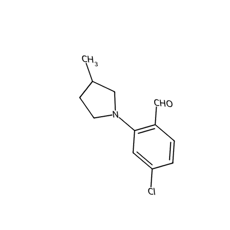 CC1CCN(c2cc(Cl)ccc2C=O)C1